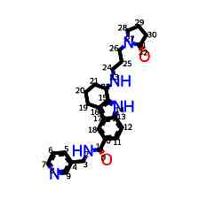 O=C(NCc1cccnc1)c1ccc2[nH]c3c(c2c1)CCCC3NCCCN1CCCC1=O